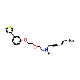 CCN(CC#CC=CC(C)(C)C)CCOCCOc1cccc(-c2ccsc2)c1